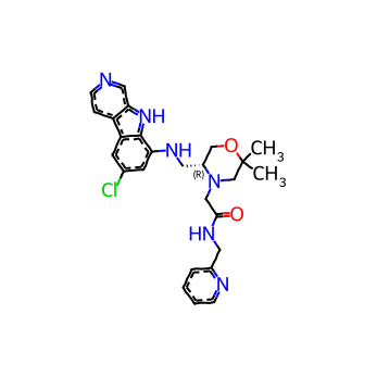 CC1(C)CN(CC(=O)NCc2ccccn2)[C@H](CNc2cc(Cl)cc3c2[nH]c2cnccc23)CO1